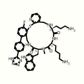 CN1C(=O)[C@H](CCCCN)NC(=O)[C@H](CCCN)NCc2cccnc2Sc2c(F)ccc(-c3ccc(-c4nnn[nH]4)cc3)c2CNC(=O)[C@@H]1Cc1c[nH]c2ccccc12